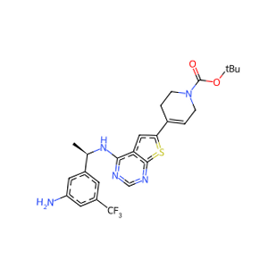 C[C@@H](Nc1ncnc2sc(C3=CCN(C(=O)OC(C)(C)C)CC3)cc12)c1cc(N)cc(C(F)(F)F)c1